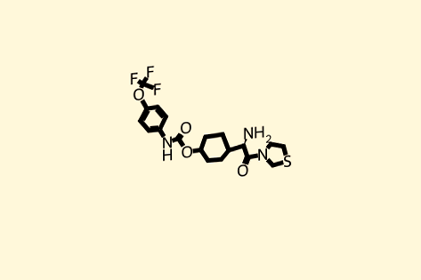 N[C@H](C(=O)N1CCSC1)C1CCC(OC(=O)Nc2ccc(OC(F)(F)F)cc2)CC1